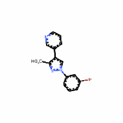 O=C(O)c1nn(-c2cccc(Br)c2)cc1-c1cccnc1